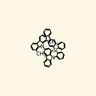 Cc1cccc2c3cccc(C)c3n(-c3cc4c5c(c3)c3ccccc3n5-c3ccccc3[Si]4(c3ccccc3)c3ccc(-c4ccccc4)cc3)c12